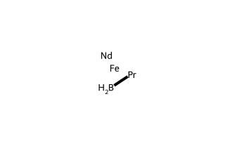 [BH2][Pr].[Fe].[Nd]